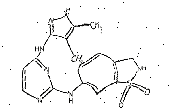 Cc1[nH]nc(Nc2ccnc(Nc3ccc4c(c3)S(=O)(=O)NC4)n2)c1C